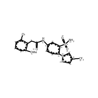 COc1cccc(Cl)c1CC(=O)Nc1ccc(-n2cc(C(F)(F)F)cn2)c(S(N)(=O)=O)c1